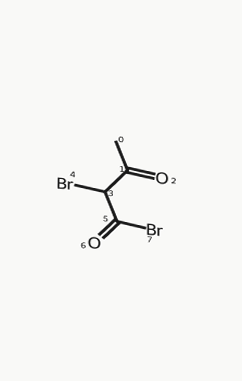 CC(=O)C(Br)C(=O)Br